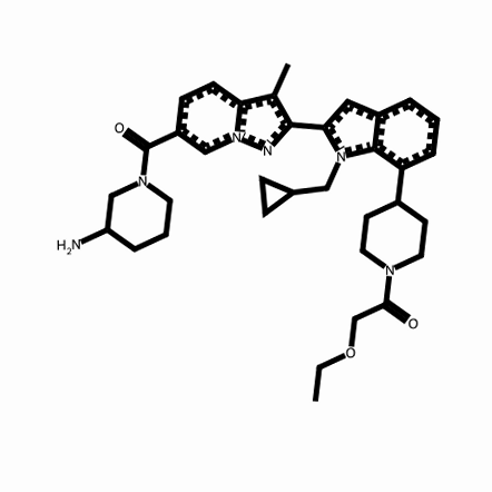 CCOCC(=O)N1CCC(c2cccc3cc(-c4nn5cc(C(=O)N6CCCC(N)C6)ccc5c4C)n(CC4CC4)c23)CC1